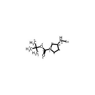 CC(C)(C)OC(=O)N1CC[C@H](NI)C1